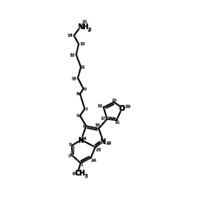 Cc1ccn2c(CCCCCCCCCN)c(-c3ccoc3)nc2c1